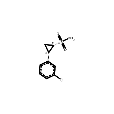 NS(=O)(=O)[C@H]1C[C@H]1c1cccc(Cl)c1